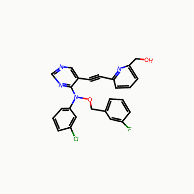 OCc1cccc(C#Cc2cncnc2N(OCc2cccc(F)c2)c2cccc(Cl)c2)n1